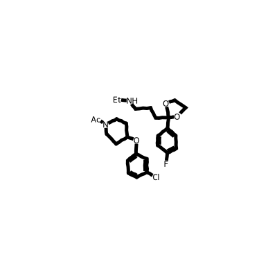 CC(=O)N1CCC(Oc2cccc(Cl)c2)CC1.CCNCCCC1(c2ccc(F)cc2)OCCO1